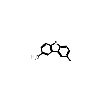 Bc1ccc2sc3ccc(C)cc3c2c1